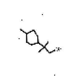 CC1CCC(C(C)(C)CO)CC1